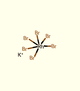 [Br][Rh-]([Br])([Br])([Br])([Br])[Br].[K+]